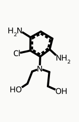 Nc1ccc(N)c(N(CCO)CCO)c1Cl